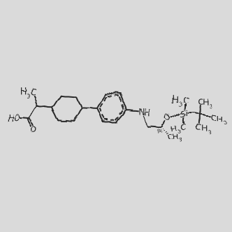 CC(C(=O)O)C1CCC(c2ccc(NC[C@@H](C)O[Si](C)(C)C(C)(C)C)cc2)CC1